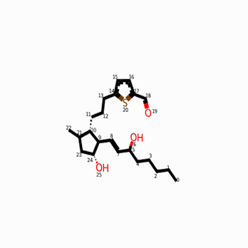 CCCCCC(O)/C=C/C1[C@@H](CCCc2ccc(C=O)s2)C(C)C[C@H]1O